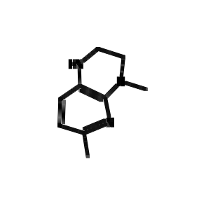 Cc1ccc2c(n1)N(C)CCN2